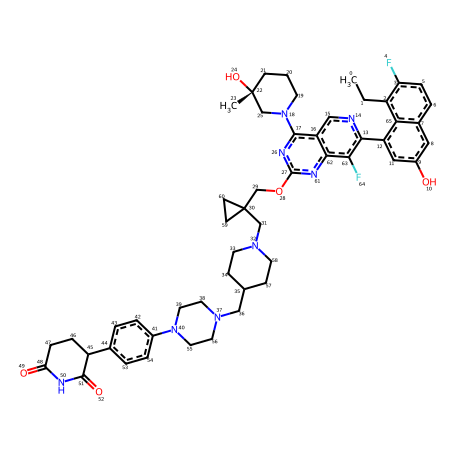 CCc1c(F)ccc2cc(O)cc(-c3ncc4c(N5CCC[C@@](C)(O)C5)nc(OCC5(CN6CCC(CN7CCN(c8ccc(C9CCC(=O)NC9=O)cc8)CC7)CC6)CC5)nc4c3F)c12